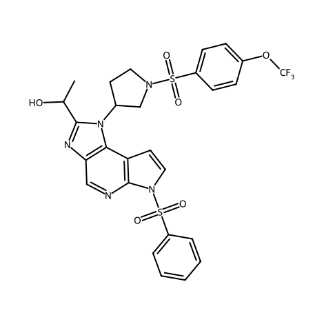 CC(O)c1nc2cnc3c(ccn3S(=O)(=O)c3ccccc3)c2n1C1CCN(S(=O)(=O)c2ccc(OC(F)(F)F)cc2)C1